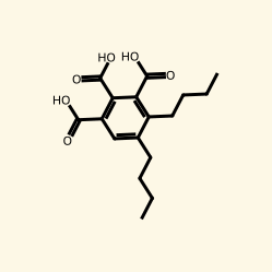 CCCCc1cc(C(=O)O)c(C(=O)O)c(C(=O)O)c1CCCC